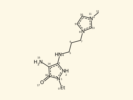 CCn1[nH]c(NCCCn2cc[n+](C)c2)c(N)c1=O